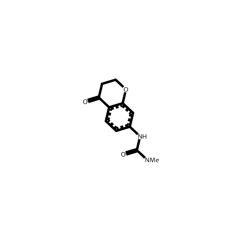 CNC(=O)Nc1ccc2c(c1)OCCC2=O